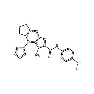 CNc1ccc(NC(=O)c2sc3nc4c(c(-c5ccco5)c3c2N)CCC4)cc1